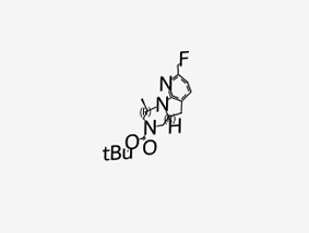 C[C@@H]1CN(C(=O)OC(C)(C)C)C[C@H]2Cc3ccc(CF)nc3N21